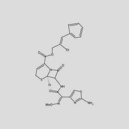 CC/C(=C\c1ccccc1)COC(=O)C1=CCS[C@@H]2C(NC(=O)/C(=N\OC)c3csc(N)n3)C(=O)N12